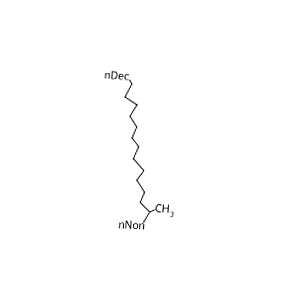 CCCCCCCCCCCCCCCCCCCCCCC(C)CCCCCCCCC